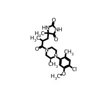 COc1cc(N2CCN(C(=O)C(C)CC3(C)NC(=O)NC3=O)C[C@@H]2C)c(C)cc1Cl